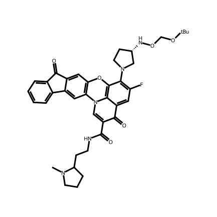 CN1CCCC1CCNC(=O)c1cn2c3cc4c(cc3oc3c(N5CC[C@H](NOCOC(C)(C)C)C5)c(F)cc(c1=O)c32)c(=O)c1ccccc14